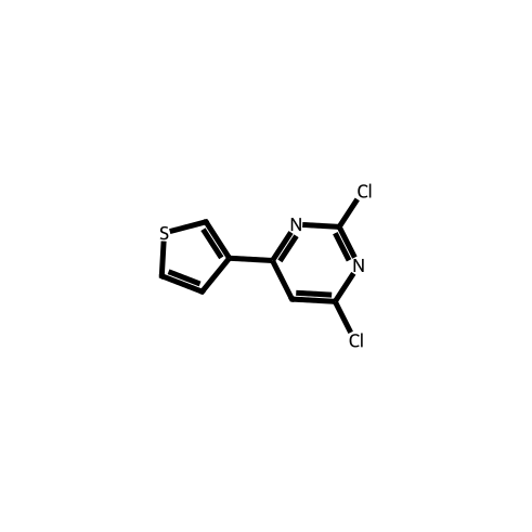 Clc1cc(-c2ccsc2)nc(Cl)n1